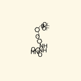 CC1(C)OB(Cc2cccc(COc3ccc(Nc4cc(=O)[nH]c(=O)[nH]4)cc3)c2)OC1(C)C